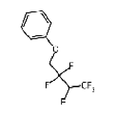 FC(C(F)(F)F)C(F)(F)COc1ccccc1